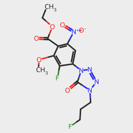 CCOC(=O)c1c([N+](=O)[O-])cc(-n2nnn(CCCF)c2=O)c(F)c1OC